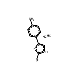 Cl.Cl.Nc1ccc(-c2c[nH]c(S)n2)cc1